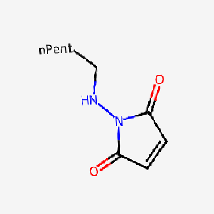 CCCCCCNN1C(=O)C=CC1=O